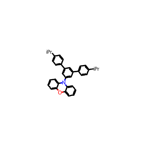 CC(C)c1ccc(-c2cc(-c3ccc(C(C)C)cc3)cc(N3c4ccccc4Oc4ccccc43)c2)cc1